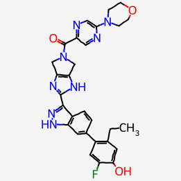 CCc1cc(O)c(F)cc1-c1ccc2c(-c3nc4c([nH]3)CN(C(=O)c3cnc(N5CCOCC5)cn3)C4)n[nH]c2c1